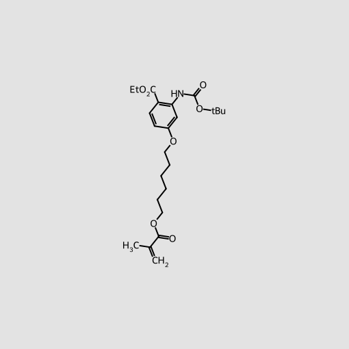 C=C(C)C(=O)OCCCCCCOc1ccc(C(=O)OCC)c(NC(=O)OC(C)(C)C)c1